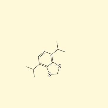 CC(C)c1ccc(C(C)C)c2c1SCS2